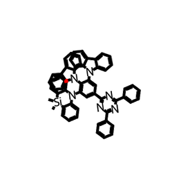 C[Si]1(C)c2ccccc2N(c2cc(-c3nc(-c4ccccc4)nc(-c4ccccc4)n3)cc(-n3c4ccccc4c4ccccc43)c2-n2c3ccccc3c3ccccc32)c2ccccc21